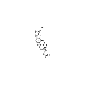 C=CCNc1nc2c(s1)C1=CC[C@H]3[C@@H]4CC[C@H](OC(C)=O)[C@@]4(C)CC[C@@H]3[C@@]1(C)CC2